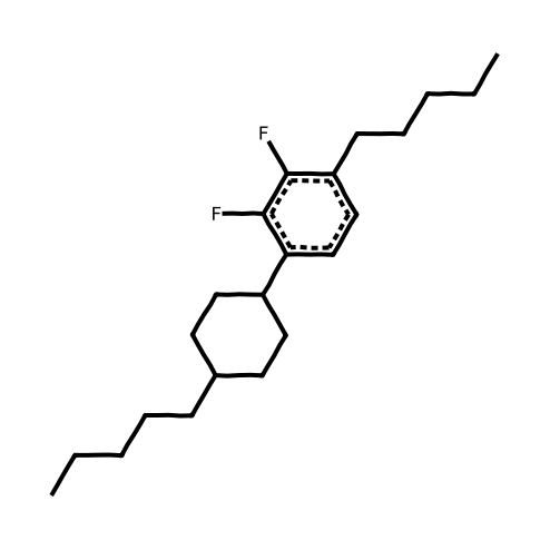 CCCCCc1ccc(C2CCC(CCCCC)CC2)c(F)c1F